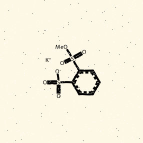 COS(=O)(=O)c1ccccc1S(=O)(=O)[O-].[K+]